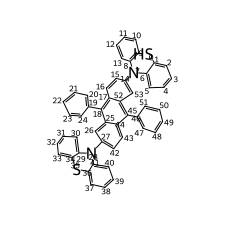 Sc1ccccc1N(c1ccccc1)c1ccc2c(-c3ccccc3)c3cc(N4c5ccccc5Sc5ccccc54)ccc3c(-c3ccccc3)c2c1